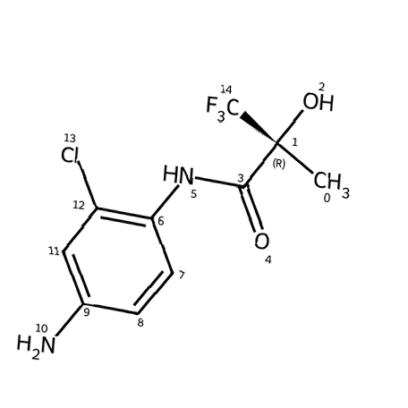 C[C@@](O)(C(=O)Nc1ccc(N)cc1Cl)C(F)(F)F